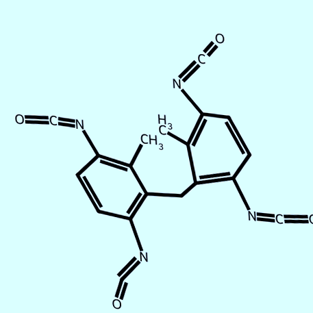 Cc1c(N=C=O)ccc(N=C=O)c1Cc1c(N=C=O)ccc(N=C=O)c1C